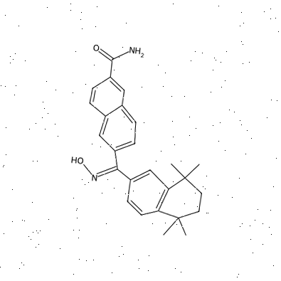 CC1(C)CCC(C)(C)c2cc(C(=NO)c3ccc4cc(C(N)=O)ccc4c3)ccc21